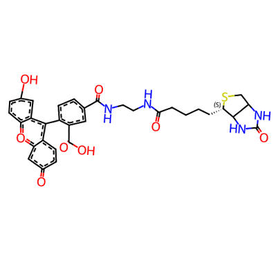 O=C(CCCC[C@@H]1SCC2NC(=O)NC21)NCCNC(=O)c1ccc(-c2c3ccc(=O)cc-3oc3ccc(O)cc23)c(C(=O)O)c1